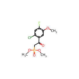 COc1cc(C(=O)CP(=O)(OC)OC)c(Cl)cc1F